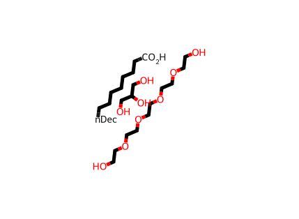 CCCCCCCCCCCCCCCCCC(=O)O.OCC(O)CO.OCCOCCOCCOCCOCCO